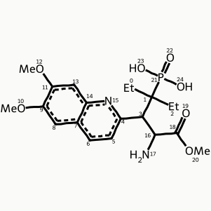 CCC(CC)(C(c1ccc2cc(OC)c(OC)cc2n1)C(N)C(=O)OC)P(=O)(O)O